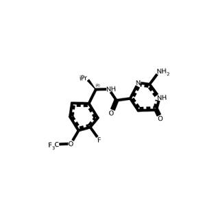 CC(C)[C@@H](NC(=O)c1cc(=O)[nH]c(N)n1)c1ccc(OC(F)(F)F)c(F)c1